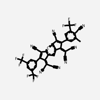 Cc1cc(C2=C(C#N)c3cc4c(cc3C2=C(C#N)C#N)C(=C(C#N)C#N)C(c2cc(C(F)(F)F)cc(C(F)(F)F)c2)=C4C#N)cc(C(F)(F)F)c1C#N